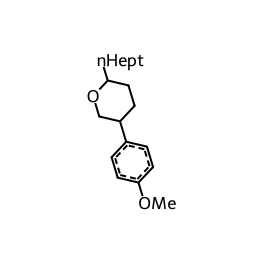 CCCCCCCC1CCC(c2ccc(OC)cc2)CO1